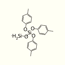 Cc1ccc(O[Si](O[SiH2])(Oc2ccc(C)cc2)Oc2ccc(C)cc2)cc1